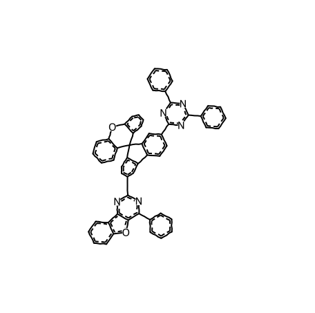 c1ccc(-c2nc(-c3ccccc3)nc(-c3ccc4c(c3)C3(c5ccccc5Oc5ccccc53)c3ccc(-c5nc(-c6ccccc6)c6oc7ccccc7c6n5)cc3-4)n2)cc1